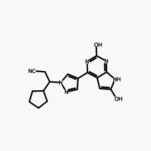 N#CCC(C1CCCC1)n1cc(-c2nc(O)nc3[nH]c(O)cc23)cn1